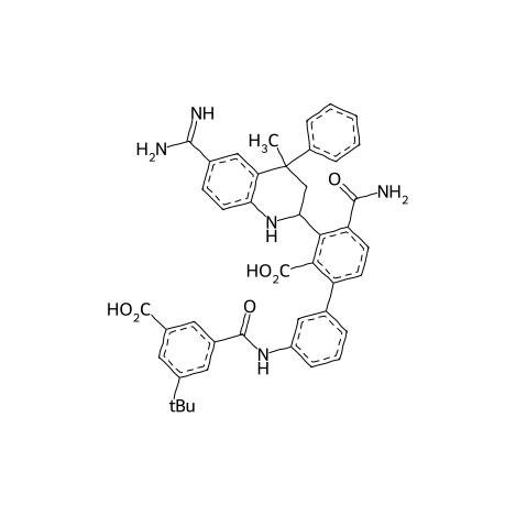 CC(C)(C)c1cc(C(=O)O)cc(C(=O)Nc2cccc(-c3ccc(C(N)=O)c(C4CC(C)(c5ccccc5)c5cc(C(=N)N)ccc5N4)c3C(=O)O)c2)c1